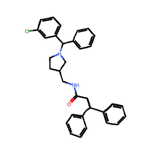 O=C(CC(c1ccccc1)c1ccccc1)NCC1CCN(C(c2ccccc2)c2cccc(Cl)c2)C1